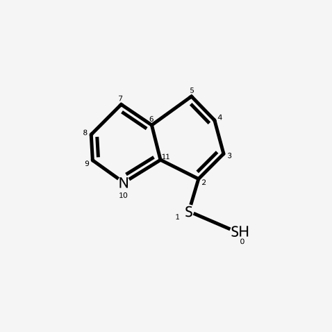 SSc1cccc2cccnc12